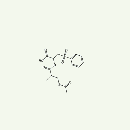 CC(=O)SC[C@H](C)C(=O)OC(CS(=O)(=O)c1ccccc1)C(=O)O